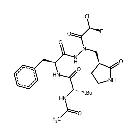 CC(C)(C)[C@H](NC(=O)C(F)(F)F)C(=O)N[C@@H](Cc1ccccc1)C(=O)NN(C[C@@H]1CCNC1=O)C(=O)[C@H](F)Cl